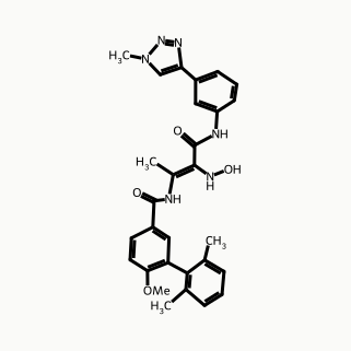 COc1ccc(C(=O)N/C(C)=C(\NO)C(=O)Nc2cccc(-c3cn(C)nn3)c2)cc1-c1c(C)cccc1C